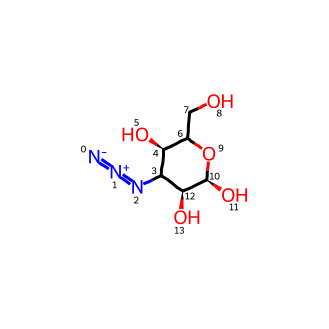 [N-]=[N+]=NC1[C@@H](O)C(CO)O[C@@H](O)[C@H]1O